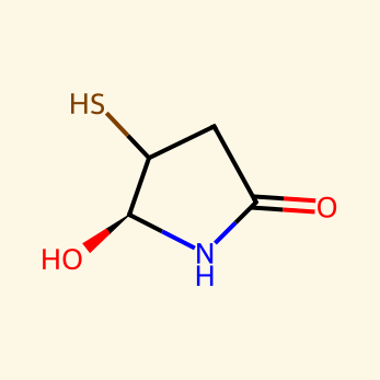 O=C1CC(S)[C@H](O)N1